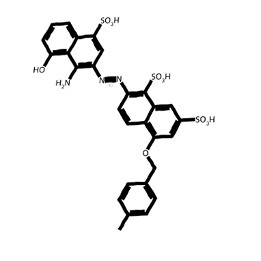 Cc1ccc(COc2cc(S(=O)(=O)O)cc3c(S(=O)(=O)O)c(/N=N/c4cc(S(=O)(=O)O)c5cccc(O)c5c4N)ccc23)cc1